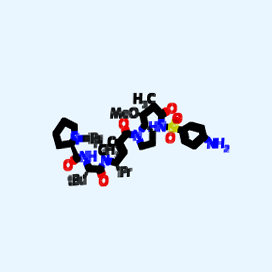 CO[C@H]([C@@H](C)C(=O)NS(=O)(=O)c1ccc(N)cc1)[C@@H]1CCCN1C(=O)/C(C)=C/[C@H](C(C)C)N(C)C(=O)[C@@H](NC(=O)[C@H]1CCCCN1C(C)C)C(C)(C)C